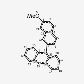 COc1ccc2ccc(-c3c4ccccc4cc4ccccc34)cc2c1